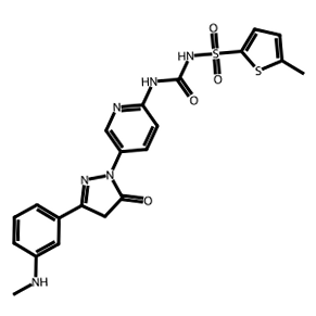 CNc1cccc(C2=NN(c3ccc(NC(=O)NS(=O)(=O)c4ccc(C)s4)nc3)C(=O)C2)c1